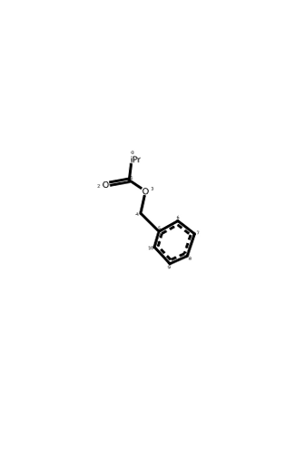 [CH2]C(C)C(=O)OCc1ccccc1